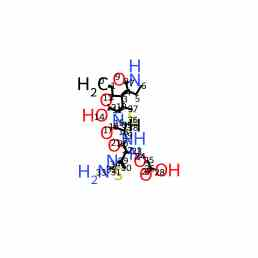 C=CCC(=C1CCNC1=O)C1=C(C(=O)O)N2C(=O)[C@@H](NC(=O)C(=NOCC(=O)O)c3csc(N)n3)[C@H]2SC1